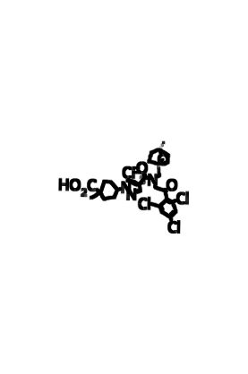 CC1(C(=O)O)CCC(n2ncc(C(=O)N(CC(=O)c3c(Cl)cc(Cl)cc3Cl)C[C@]34CC[C@@](C)(CC3)O4)c2C(F)(F)F)CC1